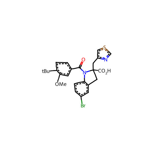 COc1cc(C(=O)N2c3ccc(Br)cc3CC2(Cc2cscn2)C(=O)O)ccc1C(C)(C)C